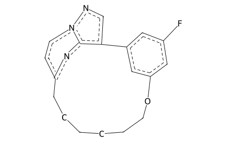 Fc1cc2cc(c1)-c1cnn3ccc(nc13)CCCCCCO2